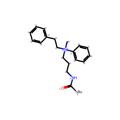 CCCCC(=O)NCCC[N+](C)(CCc1ccccc1)c1ccccc1